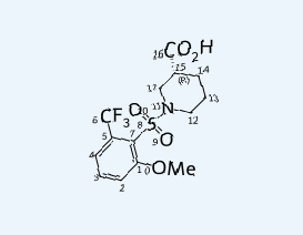 COc1cccc(C(F)(F)F)c1S(=O)(=O)N1CCC[C@@H](C(=O)O)C1